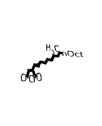 CCCCCCCCC(C)CCCCCCCCC1CC(=O)OC1=O